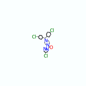 O=C(N1CCN(C(c2ccc(Cl)cc2)c2ccc(Cl)cc2)CC1)n1cc(Cl)cn1